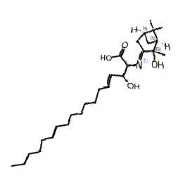 CCCCCCCCCCCCCC=CC(O)C(/N=C1\C[C@@H]2C[C@@H](C2(C)C)[C@]1(C)O)C(=O)O